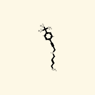 CCC=CCOCC#Cc1ccc(C(C)(C)C)cc1